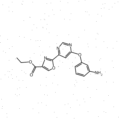 CCOC(=O)c1coc(-c2cc(Oc3cccc(N)c3)ncn2)n1